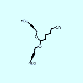 CCCCC#CCOC(CCCCC#N)OCC#CCCCC